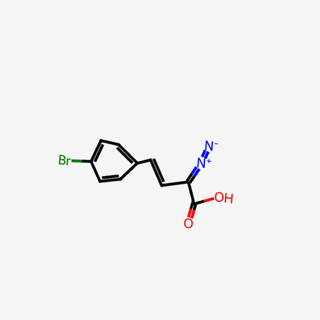 [N-]=[N+]=C(/C=C/c1ccc(Br)cc1)C(=O)O